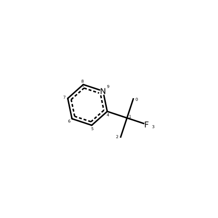 CC(C)(F)c1ccc[c]n1